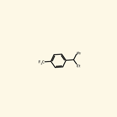 CCC(c1ccc(C(F)(F)F)cc1)C(C)C